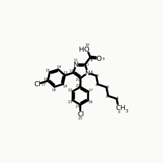 CCCCCCn1c(C(=O)O)nc(-c2ccc(Cl)cc2)c1-c1ccc(Cl)cc1